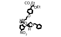 CCOC(=O)[C@H](Cc1ccc(OCCNS(=O)(=O)c2ccc([N+](=O)[O-])cc2[C@H]2C3CN(Cc4ccccc4)C[C@H]32)cc1)OCC